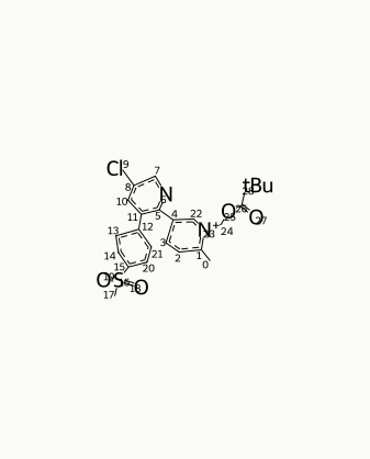 Cc1ccc(-c2ncc(Cl)cc2-c2ccc(S(C)(=O)=O)cc2)c[n+]1COC(=O)C(C)(C)C